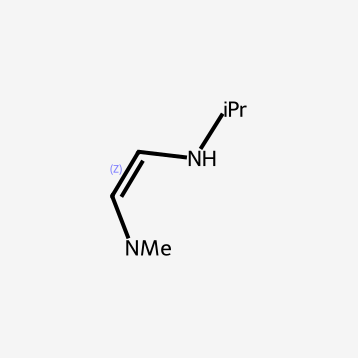 CN/C=C\NC(C)C